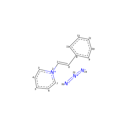 C(=C[n+]1ccccc1)c1ccccc1.[N-]=[N+]=[N-]